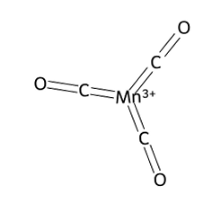 O=[C]=[Mn+3](=[C]=O)=[C]=O